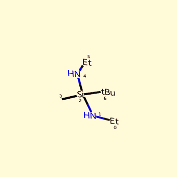 CCN[Si](C)(NCC)C(C)(C)C